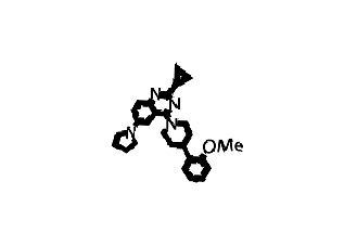 COc1ccccc1C1CCN(c2nc(C3CC3)nc3ccc(N4CCCC4)cc23)CC1